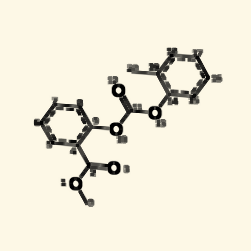 COC(=O)c1ccccc1OC(=O)Oc1ccccc1C